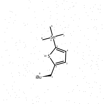 CC[C@H](C)Cc1cc[c]([Sn]([CH3])([CH3])[CH3])s1